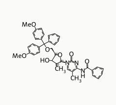 COc1ccc(C(OC[C@H]2O[C@@H](n3cc(C)c(NC(=O)c4ccccc4)nc3=O)[C@@H](C)C2O)(c2ccccc2)c2ccc(OC)cc2)cc1